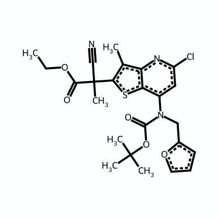 CCOC(=O)C(C)(C#N)c1sc2c(N(Cc3ccco3)C(=O)OC(C)(C)C)cc(Cl)nc2c1C